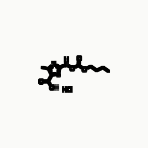 CCCCOC(=O)ONc1nc(C)c(C(=O)O)s1.Cl